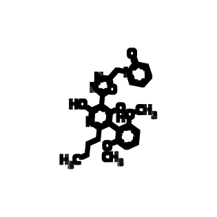 CCCCc1nc(O)c(-c2nnc(Cn3ccccc3=O)o2)c(O)c1-c1c(OC)cccc1OC